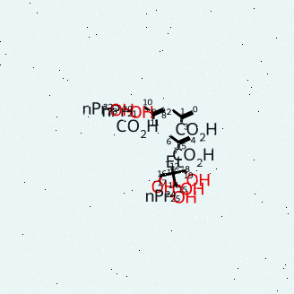 C=C(C)C(=O)O.C=C(C)C(=O)O.C=C(C)C(=O)O.CCC(CO)(CO)CO.CCCO.CCCO.CCCO